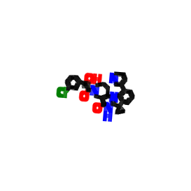 O=C([C@H](O)c1cccc(Cl)c1)N1CCCc2nc(C3(c4cccc(-c5cccnc5)c4)CC3)[nH]c(=O)c2C1